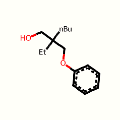 CCCCC(CC)(CO)COc1ccccc1